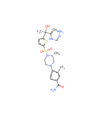 C=C(N/C=N\N)C(O)(c1ccc(S(=O)(=O)N2CCN(c3ccc(C(N)=O)cc3C(F)(F)F)C[C@H]2C)s1)C(F)(F)F